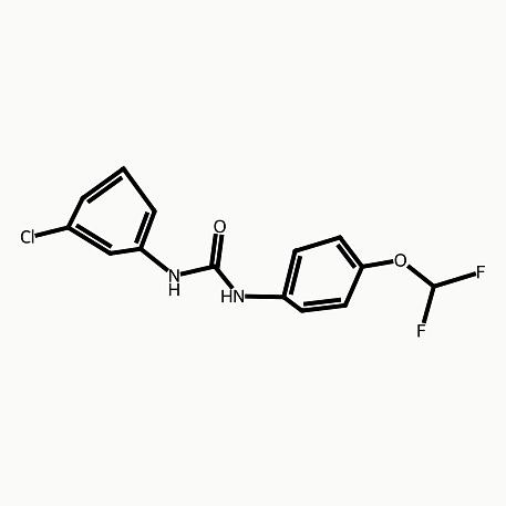 O=C(Nc1ccc(OC(F)F)cc1)Nc1cccc(Cl)c1